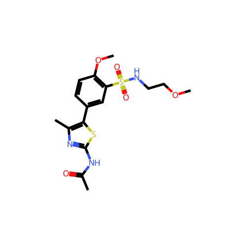 COCCNS(=O)(=O)c1cc(-c2sc(NC(C)=O)nc2C)ccc1OC